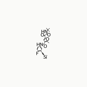 Cc1oc(C(=O)C(=O)NC(C)(C)C)cc1C(=O)Nc1ccc(F)c(C#C[Si](C)(C)C)c1